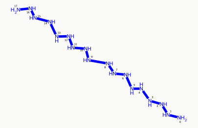 NNNNNNNNNNNNNNNNNN